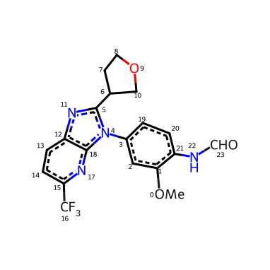 COc1cc(-n2c(C3CCOC3)nc3ccc(C(F)(F)F)nc32)ccc1NC=O